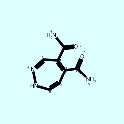 NC(=O)C1=C(C(N)=O)C=NNC=C1